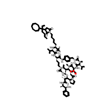 CCCCC(CC)(C1CCCCCCC1)C1CC(=O)N(CCCCC[C@H](N[C@H](C(=O)N[C@@H](CCCNC(N)=O)C(=O)Nc2ccc(COC(=O)N(C)[C@H](C(=O)N[C@H](C(=O)N(C)[C@@H]([C@@H](C)CC)[C@@H](CC(=O)N3CCC[C@H]3[C@H](OC)[C@@H](C)C(=O)N[C@H](C)[C@@H](O)c3ccccc3)OC)C(C)C)C(C)C)cc2)C(C)C)C(F)(F)F)C1=O